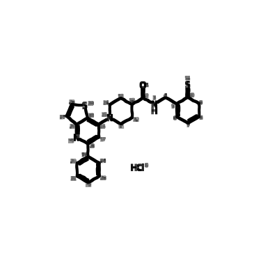 Cl.O=C(NCC1=CC=CCC1=S)C1CCN(c2cc(-c3ccccc3)nc3ccsc23)CC1